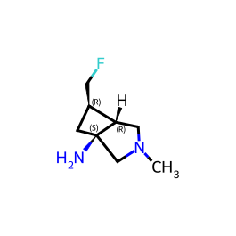 CN1C[C@H]2[C@H](CF)C[C@@]2(N)C1